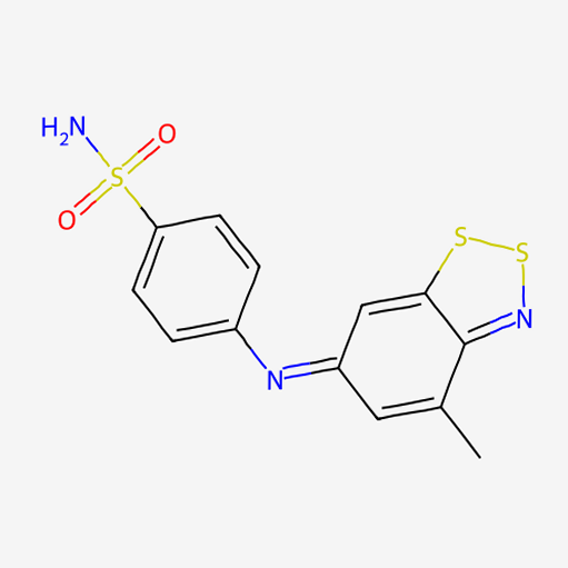 Cc1cc(=Nc2ccc(S(N)(=O)=O)cc2)cc2ssnc1-2